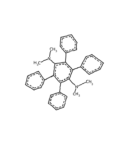 CN(C)c1c(-c2ccccc2)c(-c2ccccc2)c(N(C)C)c(-c2ccccc2)c1-c1ccccc1